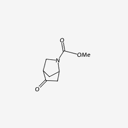 COC(=O)N1CC2CC1CC2=O